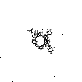 CN(C)CCC(=O)N[C@H]1Cc2cccc(c2)Oc2cccc(c2)C[C@@H](C(=O)NCC2CCCCN2C)NC(=O)[C@H](CCc2ccccc2)NC1=O